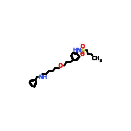 CCCCS(=O)(=O)Nc1ccc(CCCOCCCCCCNCc2ccccc2)cc1